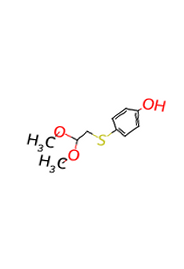 COC(CSc1ccc(O)cc1)OC